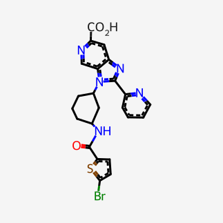 O=C(O)c1cc2nc(-c3ccccn3)n(C3CCCC(NC(=O)c4ccc(Br)s4)C3)c2cn1